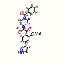 COc1cc(-c2cc[nH]n2)ccc1C(=O)C(=O)N1CCN(C(=O)c2ccccc2)C[C@H]1C